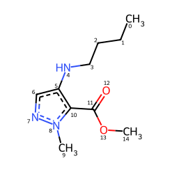 CCCCNc1cnn(C)c1C(=O)OC